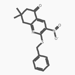 CC1(C)CC(=O)c2cc([N+](=O)[O-])c(SCc3ccccc3)nc2C1